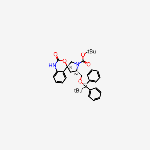 CC(C)(C)OC(=O)N1C[C@]2(C[C@H]1CO[Si](c1ccccc1)(c1ccccc1)C(C)(C)C)OC(=O)Nc1ccccc12